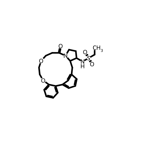 CCS(=O)(=O)NC1CCN2C(=O)CCOCCOc3ccccc3-c3cccc(c3)CC12